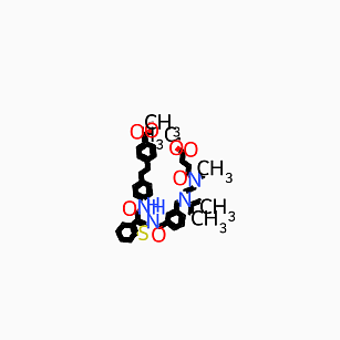 CCOC(=O)CCC(=O)N(CC)CCN(Cc1cccc(C(=O)Nc2sc3c(c2C(=O)Nc2ccc(CCc4ccc(C(=O)OC)cc4)cc2)CCCC3)c1)C(CC)CC